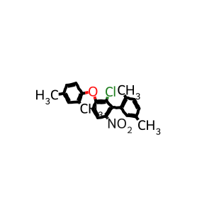 Cc1ccc(Oc2ccc([N+](=O)[O-])c(-c3cc(C)ccc3C)c2Cl)c(C)c1